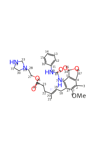 COc1c(C)c2c(c(NC(=O)Nc3ccccc3)c1C/C=C(\C)CCC(=O)OCCN1CCNC1)C(=O)OC2